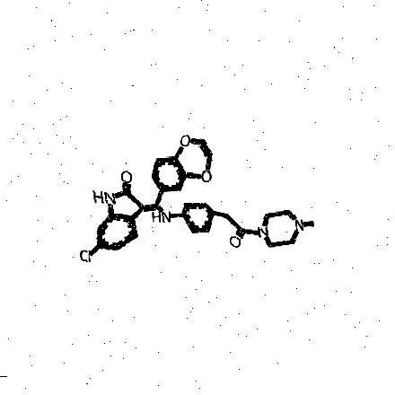 CN1CCN(C(=O)Cc2ccc(NC(=C3C(=O)Nc4cc(Cl)ccc43)c3ccc4c(c3)OC=CO4)cc2)CC1